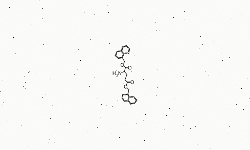 NC(CCC(=O)OCc1cccc2ccccc12)C(=O)OCc1cccc2ccccc12